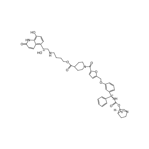 O=C(N[C@@H](c1ccccc1)c1cccc(OCc2ccc(C(=O)N3CCC(C(=O)OCCCCNC[C@H](O)c4ccc(O)c5[nH]c(=O)ccc45)CC3)o2)c1)O[C@H]1CN2CCC1CC2